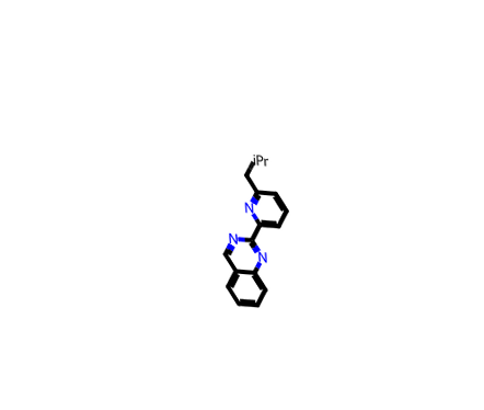 CC(C)Cc1cccc(-c2ncc3ccccc3n2)n1